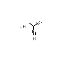 [B+2]C(C)CC.[H-].[H-].[H-].[Li+]